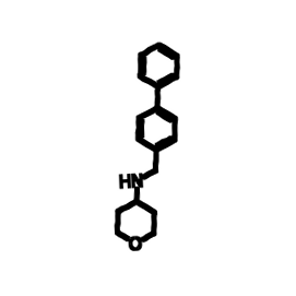 c1ccc(-c2ccc(CNC3CCOCC3)cc2)cc1